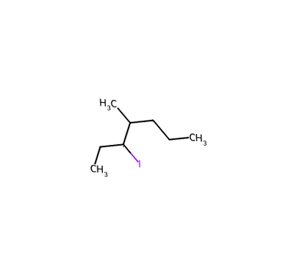 CCCC(C)[C](I)CC